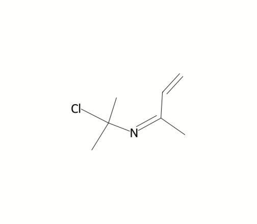 C=C/C(C)=N\C(C)(C)Cl